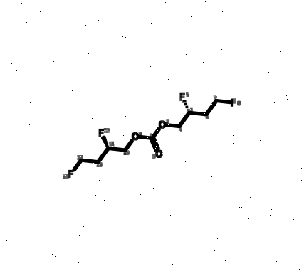 O=C(OC[C@H](F)CCF)OC[C@H](F)CCF